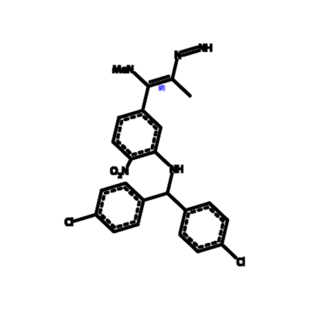 CN/C(=C(/C)N=N)c1ccc([N+](=O)[O-])c(NC(c2ccc(Cl)cc2)c2ccc(Cl)cc2)c1